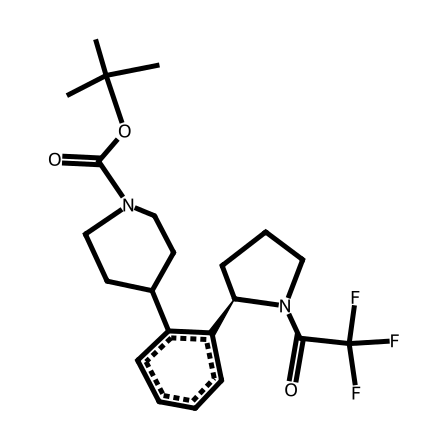 CC(C)(C)OC(=O)N1CCC(c2ccccc2[C@H]2CCCN2C(=O)C(F)(F)F)CC1